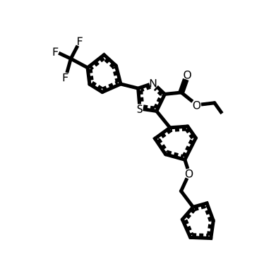 CCOC(=O)c1nc(-c2ccc(C(F)(F)F)cc2)sc1-c1ccc(OCc2ccccc2)cc1